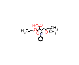 CCCCOC(=O)C(C(=O)O)C(/C=C/c1ccccc1)CC(=O)CC(C)C